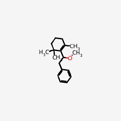 COC(Cc1ccccc1)C1=C(C)CCCC1(C)C